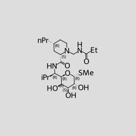 CCC[C@@H]1CCN(CNC(=O)CC)[C@H](C(=O)N[C@H](C(C)C)[C@H]2O[C@H](SC)[C@H](O)[C@@H](O)[C@H]2O)C1